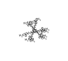 C=CC(=O)OCCCCN(CCCC(=O)C(=O)C(=C)C)c1nc(N(CCCCOC(=O)C=C)CCCC(=O)C(=O)C(=C)C)nc(N(CCCC(=O)C(=O)C(=C)C)CCCC(=O)C(=O)C(=C)C)n1